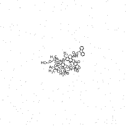 C#CCOCCC(=O)N(C)CC(=O)Nc1cc(COC(=O)N(CCS(C)(=O)=O)CO[C@]2(CC)C(=O)OCc3c2cc2n(c3=O)Cc3c-2nc2cc(F)c(C)c4c2c3[C@@H](NC(=O)OCC2c3ccccc3-c3ccccc32)CC4)ccc1O[C@@H]1OC(C(C)=O)[C@@H](C)[C@H](C)C1OC(C)=O